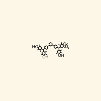 CCOC(C)Oc1c(C)cc(C(c2ccc(-c3cccc(-c4ccc(C(c5cc(C)c(O)c(C)c5C)c5cc(C)c(O)c(C)c5C)cc4)c3)cc2)c2cc(C)c(O)c(C)c2C)c(C)c1C